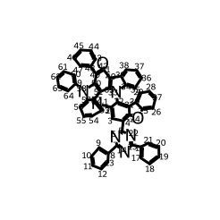 N#Cc1cc(-c2nc(-c3ccccc3)nc(-c3ccccc3)n2)c2oc3ccccc3c2c1-n1c2ccccc2c2c3oc4ccccc4c3c3c(c4ccccc4n3-c3ccccc3)c21